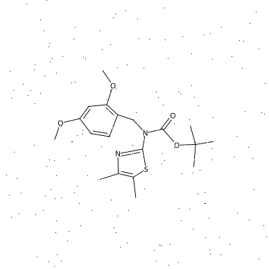 [CH2]c1nc(N(Cc2ccc(OC)cc2OC)C(=O)OC(C)(C)C)sc1C